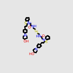 O=C(C[n+]1c(/C=C/c2ccc(N3CCC(O)CC3)cc2)sc2ccccc21)NCCSSCCNC(=O)C[n+]1c(/C=C/c2ccc(N3CCC(O)CC3)cc2)sc2ccccc21